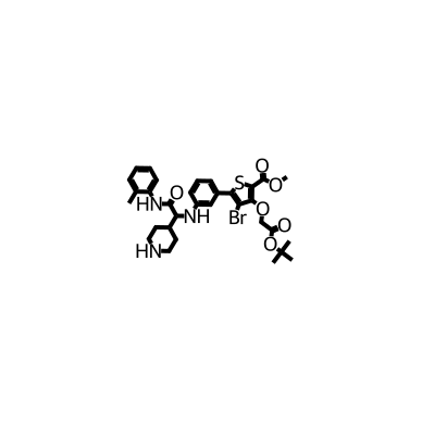 COC(=O)c1sc(-c2cccc(NC(C(=O)Nc3ccccc3C)C3CCNCC3)c2)c(Br)c1OCC(=O)OC(C)(C)C